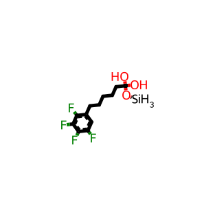 OC(O)(CCCCCc1cc(F)c(F)c(F)c1F)O[SiH3]